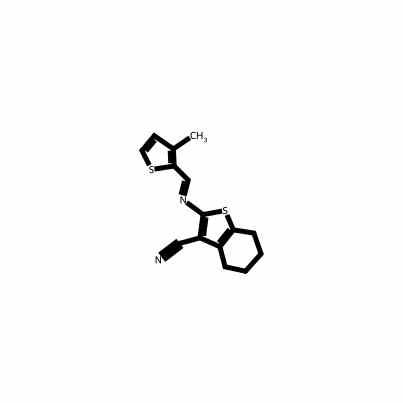 Cc1ccsc1/C=N/c1sc2c(c1C#N)CCCC2